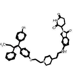 CC/C(=C(\c1ccc(O)cc1)c1ccc(OCCN2CCC(CCNc3ccc4c(c3)CN(C3CCC(=O)NC3=O)C4=O)CC2)cc1)c1ccccc1